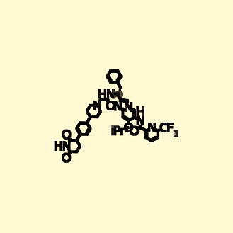 CC(C)Oc1cc2nc([C@@H](Cc3ccccc3)NC(=O)CN3CCC(c4ccc(C5CCC(=O)NC5=O)cc4)CC3)cn2cc1NC(=O)c1cccc(C(F)(F)F)n1